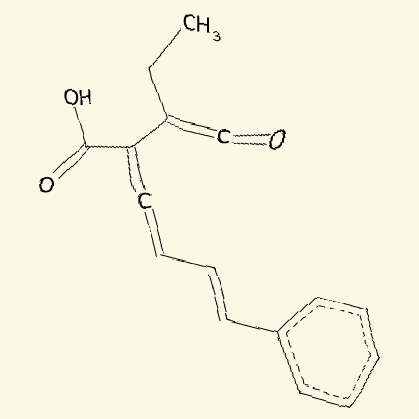 CCC(=C=O)C(=C=CC=Cc1ccccc1)C(=O)O